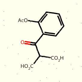 CC(=O)Oc1ccccc1C(=O)C(C(=O)O)C(=O)O